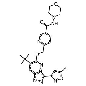 Cc1cc(-c2nnc3cc(C(C)(C)C)c(OCc4ccc(C(=O)NN5CCOCC5)cn4)nn23)no1